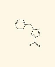 O=[N+]([O-])c1ccn(Cc2ccccc2)c1